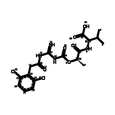 CC(C)[C@@H](NC(=O)[C@H](C)OC(=O)NC(=N)NC(=O)Cc1c(Cl)cccc1Cl)C(=O)O